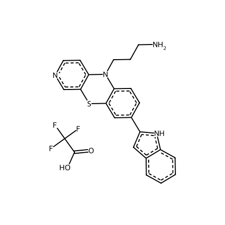 NCCCN1c2ccncc2Sc2cc(-c3cc4ccccc4[nH]3)ccc21.O=C(O)C(F)(F)F